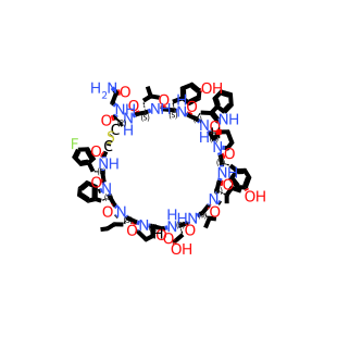 CCCC[C@H]1C(=O)N2CCC[C@@H]2C(=O)N[C@@H](CC(=O)O)C(=O)N[C@@H](C(C)C)C(=O)N(C)[C@@H](C(C)CC)C(=O)N[C@@H](Cc2ccc(O)cc2)C(=O)N2CCCC[C@@H]2C(=O)N[C@@H](Cc2c[nH]c3ccccc23)C(=O)N[C@@H](Cc2ccc(O)cc2)C(=O)N[C@@H](CC(C)C)C(=O)N[C@H](C(=O)NCC(N)=O)CSCC(=O)N[C@@H](Cc2ccc(F)cc2)C(=O)N(C)[C@@H](Cc2ccccc2)C(=O)N1C